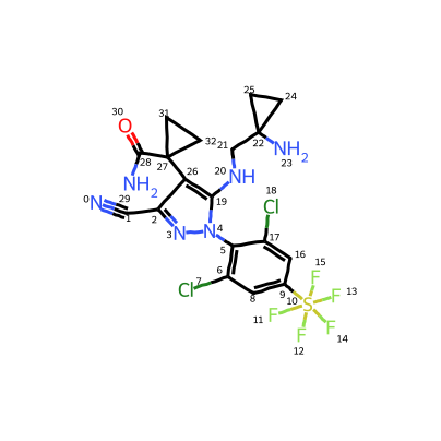 N#Cc1nn(-c2c(Cl)cc(S(F)(F)(F)(F)F)cc2Cl)c(NCC2(N)CC2)c1C1(C(N)=O)CC1